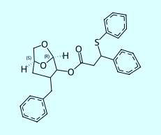 O=C(CC(Sc1ccccc1)c1ccccc1)OC1C(Cc2ccccc2)C[C@H]2CO[C@@H]1O2